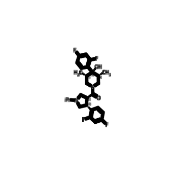 CC(C)N1C[C@@H](C(=O)N2C[C@@H](C)[C@](O)(c3ccc(F)cc3F)[C@@H](C)C2)[C@H](c2ccc(F)cc2F)C1